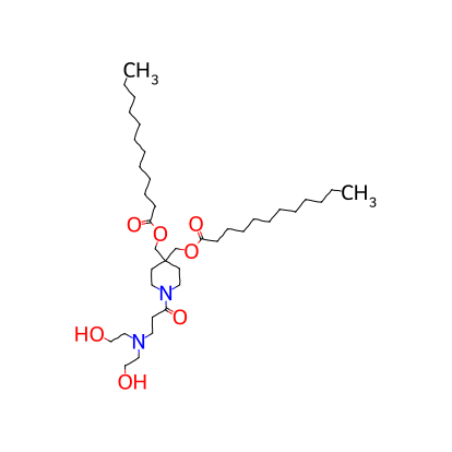 CCCCCCCCCCCC(=O)OCC1(COC(=O)CCCCCCCCCCC)CCN(C(=O)CCN(CCO)CCO)CC1